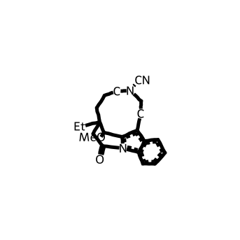 CCC12CCCN(C#N)CCc3c(n(c4ccccc34)C(=O)C1)C2OC